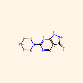 O=c1[nH][nH]c2nc(N3CCNCC3)ncc12